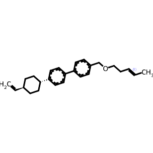 C=C[C@H]1CC[C@H](c2ccc(-c3ccc(COCC/C=C/C)cc3)cc2)CC1